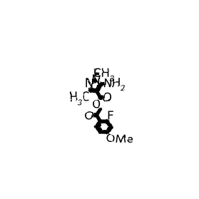 COc1ccc(C(=O)COC(=O)c2c(C)nn(C)c2N)c(F)c1